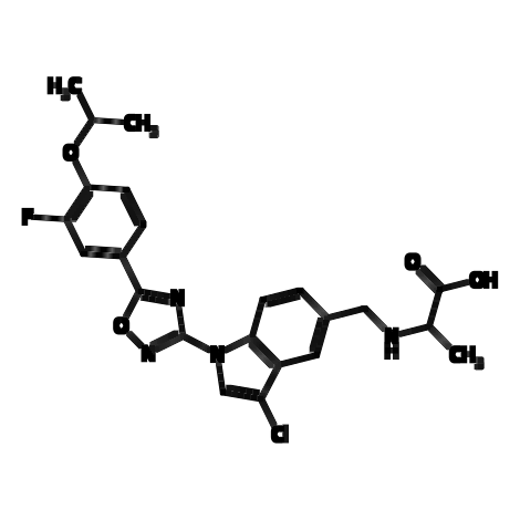 CC(C)Oc1ccc(-c2nc(-n3cc(Cl)c4cc(CNC(C)C(=O)O)ccc43)no2)cc1F